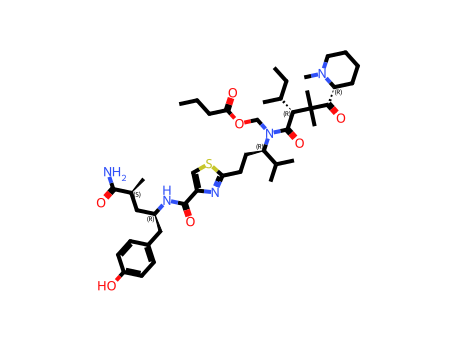 CCCC(=O)OCN(C(=O)[C@H](C(C)CC)C(C)(C)C(=O)[C@H]1CCCCN1C)[C@H](CCc1nc(C(=O)N[C@@H](Cc2ccc(O)cc2)C[C@H](C)C(N)=O)cs1)C(C)C